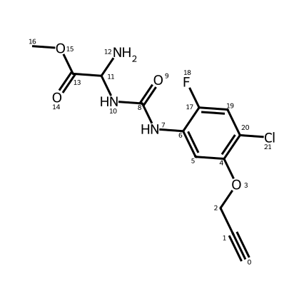 C#CCOc1cc(NC(=O)NC(N)C(=O)OC)c(F)cc1Cl